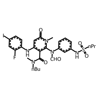 CCCCN(C)C(=O)c1c(Nc2ccc(I)cc2F)cc(=O)n(C)c1N(C=O)c1cccc(NS(=O)(=O)CCC)c1